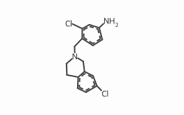 Nc1ccc(CN2CCc3ccc(Cl)cc3C2)c(Cl)c1